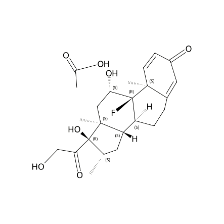 CC(=O)O.C[C@H]1C[C@H]2[C@@H]3CCC4=CC(=O)C=C[C@]4(C)[C@@]3(F)[C@@H](O)C[C@]2(C)[C@@]1(O)C(=O)CO